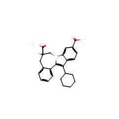 O=C(O)c1ccc2c(C3CCCCC3)c3n(c2c1)CC(F)(C(=O)O)Cc1ccccc1-3